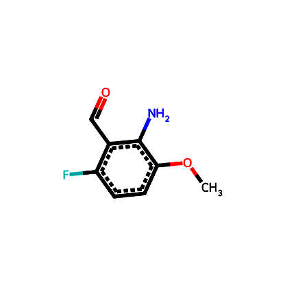 COc1ccc(F)c(C=O)c1N